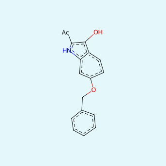 CC(=O)c1[nH]c2cc(OCc3ccccc3)ccc2c1O